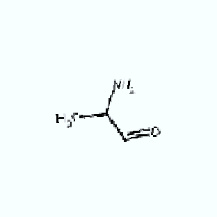 C[C](N)C=O